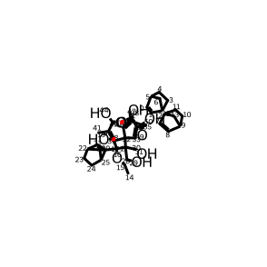 C1=CC2CCC1C2.C1=CC2CCC1C2.CCOC(CO)(C1=CC2CCC1C2)C(CO)(CO)C(C=C(C)C(=O)O)(C=C(C)C(=O)O)C=C(C)C(=O)O